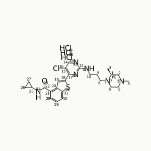 C[C@H]1CN(C)CCN1CCCNc1ncc(Cl)c(-c2cc3c(C(=O)NC4CC4)cccc3s2)n1.Cl.Cl.Cl